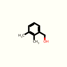 Cc1cccc([CH]O)c1C